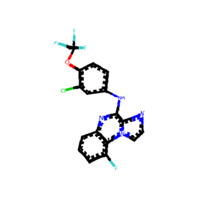 Fc1cccc2nc(Nc3ccc(OC(F)(F)F)c(Cl)c3)c3nccn3c12